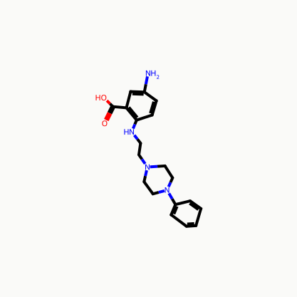 Nc1ccc(NCCN2CCN(c3ccccc3)CC2)c(C(=O)O)c1